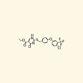 CCOC(=O)c1c[nH]c(SCc2ccc(Oc3ccc(Cl)c(C(F)(F)F)c3)cc2)nc1=O